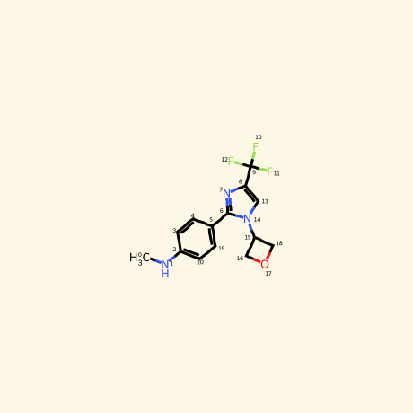 CNc1ccc(-c2nc(C(F)(F)F)cn2C2COC2)cc1